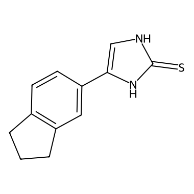 S=c1[nH]cc(-c2ccc3c(c2)CCC3)[nH]1